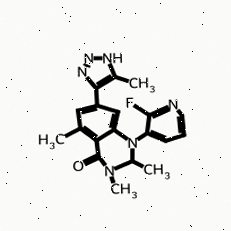 Cc1cc(-c2nn[nH]c2C)cc2c1C(=O)N(C)C(C)N2c1cccnc1F